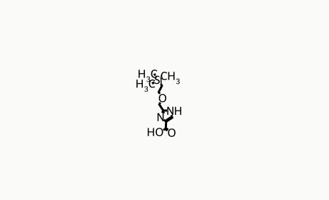 C[Si](C)(C)CCOCc1nc(C(=O)O)c[nH]1